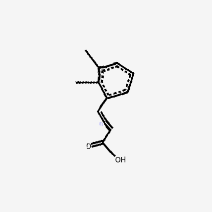 Cc1cccc(/C=C/C(=O)O)c1C